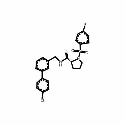 O=C(NCc1cccc(-c2ccc(Cl)cc2)c1)[C@@H]1CCCN1S(=O)(=O)c1ccc(F)cc1